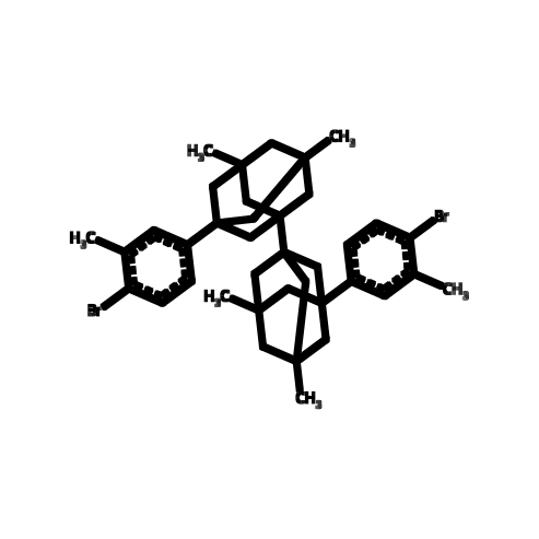 Cc1cc(C23CC4(C)CC(C)(C2)CC(C25CC6(C)CC(C)(CC(c7ccc(Br)c(C)c7)(C6)C2)C5)(C4)C3)ccc1Br